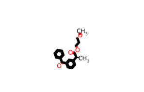 COCCCOC(=O)[C@@H](C)c1cccc(C(=O)c2ccccc2)c1